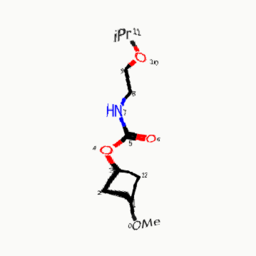 COC1CC(OC(=O)NCCOC(C)C)C1